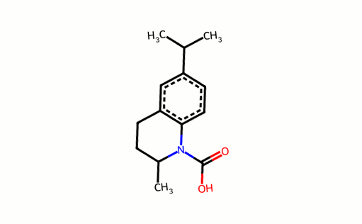 CC(C)c1ccc2c(c1)CCC(C)N2C(=O)O